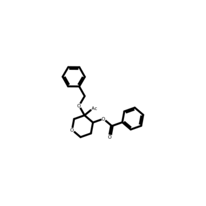 CC(=O)C1(OCc2ccccc2)COCCC1OC(=O)c1ccccc1